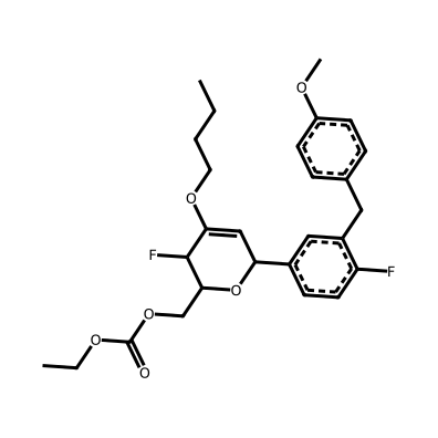 CCCCOC1=CC(c2ccc(F)c(Cc3ccc(OC)cc3)c2)OC(COC(=O)OCC)C1F